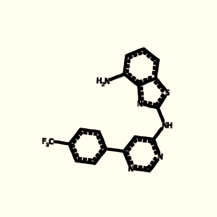 Nc1cccc2sc(Nc3cc(-c4ccc(C(F)(F)F)cc4)ncn3)nc12